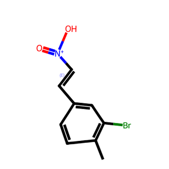 Cc1ccc(/C=C/[N+](=O)O)cc1Br